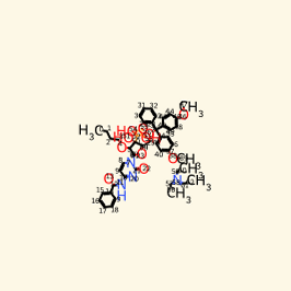 CCCCOC1[C@H](n2ccc(NC(=O)c3ccccc3)nc2=O)O[C@H](COC(c2ccccc2)(c2ccc(OC)cc2)c2ccc(OC)cc2)C1(O)P(=O)(O)O.CCN(CC)CC